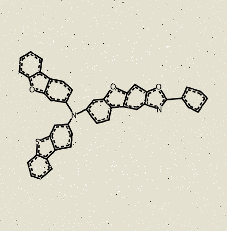 c1ccc(-c2nc3cc4c(cc3o2)oc2cc(N(c3ccc5c(c3)oc3ccccc35)c3ccc5c(c3)sc3ccccc35)ccc24)cc1